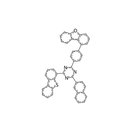 c1ccc2cc(-c3nc(-c4ccc(-c5cccc6oc7ccccc7c56)cc4)nc(-c4cccc5c4sc4ccccc45)n3)ccc2c1